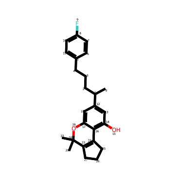 CC(CCCc1ccc(F)cc1)c1cc(O)c2c(c1)OC(C)(C)C1=C2CCC1